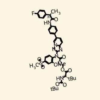 COc1cc(S(C)(=O)=O)ccc1N(C(=O)OCOC(=O)[C@@H](NC(=O)OC(C)(C)C)C(C)(C)C)c1nc2ccc(-c3ccc(NC(=O)[C@H](C)c4ccc(F)cc4)cc3)cn2n1